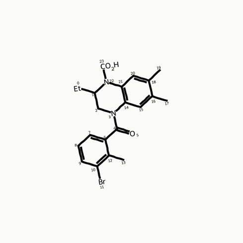 CCC1CN(C(=O)c2cccc(Br)c2C)c2cc(C)c(C)cc2N1C(=O)O